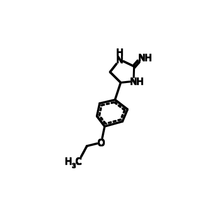 CCOc1ccc(C2CNC(=N)N2)cc1